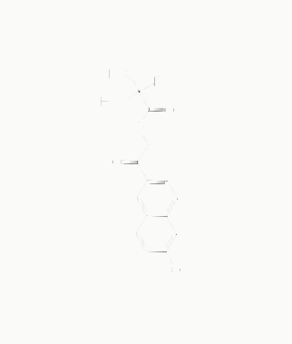 CCC(C)(C)C(=O)OCC(=O)c1ccc2cc(O)ccc2c1